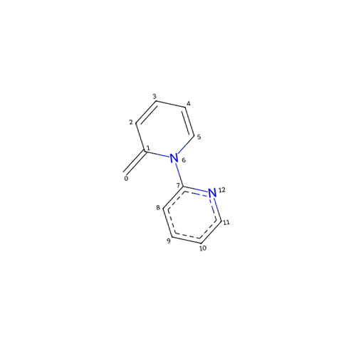 C=C1C=CC=CN1c1ccccn1